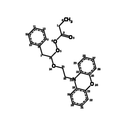 CCC(=O)OOC(Cc1ccccc1)OCCN1c2ccccc2Oc2ccccc21